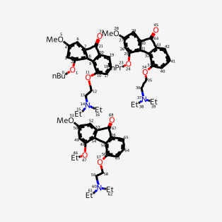 CCCCOc1cc(OC)cc2c1-c1c(OCCN(CC)CC)cccc1C2=O.CCCOc1cc(OC)cc2c1-c1c(OCCN(CC)CC)cccc1C2=O.CCOc1cc(OC)cc2c1-c1c(OCCN(CC)CC)cccc1C2=O